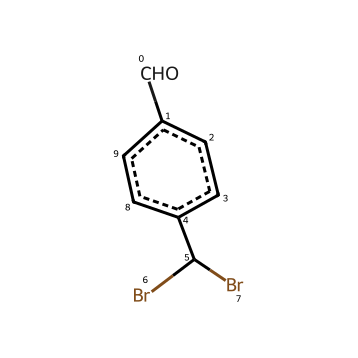 O=Cc1ccc(C(Br)Br)cc1